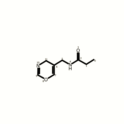 CCC(=O)NCC1=COC=NC1